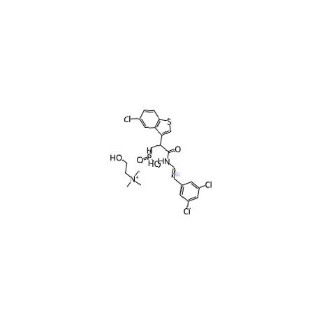 C[N+](C)(C)CCO.O=C(N/C=C/c1cc(Cl)cc(Cl)c1)C(C[PH](=O)O)c1csc2ccc(Cl)cc12